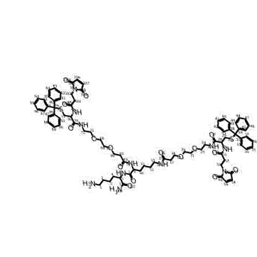 NCCCCC(NC(=O)C(CCCCNC(=O)CCOCCOCCNC(=O)C(CSC(c1ccccc1)(c1ccccc1)c1ccccc1)NC(=O)CCN1C(=O)C=CC1=O)NC(=O)CCOCCOCCNC(=O)C(CSC(c1ccccc1)(c1ccccc1)c1ccccc1)NC(=O)CCN1C(=O)C=CC1=O)C(N)=O